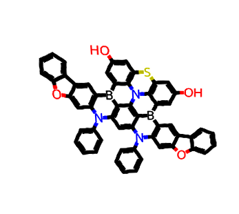 Oc1cc2c3c(c1)B1c4cc5c(cc4N(c4ccccc4)c4cc6c7c(c41)N3c1c(cc(O)cc1B7c1cc3c(cc1N6c1ccccc1)oc1ccccc13)S2)oc1ccccc15